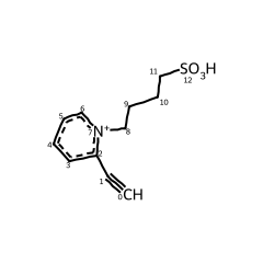 C#Cc1cccc[n+]1CCCCS(=O)(=O)O